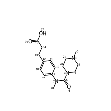 CN1CCN(C(=O)N(C)c2ccc(CCC(=O)O)cc2)CC1